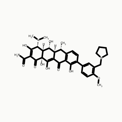 COc1ccc(-c2ccc3c(c2O)C(=O)C2=C(O)[C@@]4(O)C(=O)C(C(N)=O)=C(O)[C@H](N(C)C)[C@H]4[C@H](O)[C@H]2[C@@H]3C)cc1CN1CCCC1